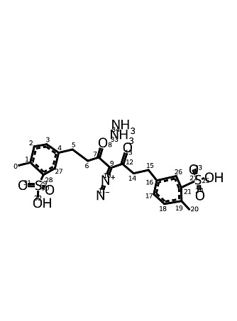 Cc1ccc(CCC(=O)C(=[N+]=[N-])C(=O)CCc2ccc(C)c(S(=O)(=O)O)c2)cc1S(=O)(=O)O.N.N